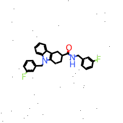 O=C(NCc1cccc(F)c1)C1CCc2c(c3ccccc3n2Cc2cccc(F)c2)C1